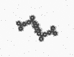 CN1c2ccc(N(c3ccccc3)c3ccc(-c4ccc(N(c5ccccc5)c5ccccc5)cc4)cc3)cc2C(C)(C)c2cc3c(cc21)C(C)(C)c1cc(N(c2ccccc2)c2ccc(-c4ccc(N(c5ccccc5)c5ccccc5)cc4)cc2)ccc1N3C